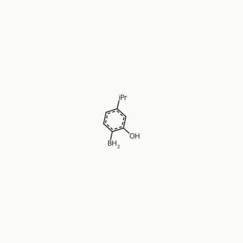 Bc1ccc(C(C)C)cc1O